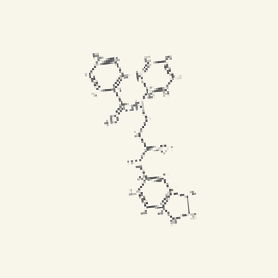 O=C(CCN(C(=O)c1cc#ccc1)c1ccccn1)Oc1ccc2c(c1)CCC2